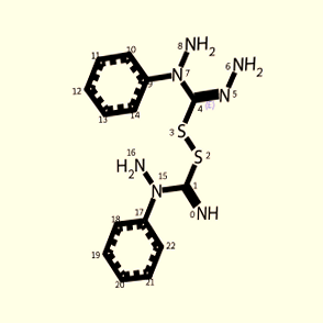 N=C(SS/C(=N/N)N(N)c1ccccc1)N(N)c1ccccc1